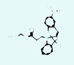 CCOC(=O)CCN1c2ccccc2C(C)(C)C12C=Cc1cc([N+](=O)[O-])ccc1O2